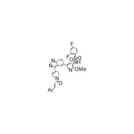 COc1ncc(-c2ccc3ncnc(C4=CCN(C(=O)/C=C/C(C)=O)CC4)c3c2)cc1NS(=O)(=O)c1ccc(F)cc1F